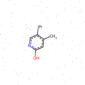 Cc1cc(O)ncc1C(C)C